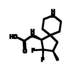 C[C@@H]1CC2(CCNCC2)[C@H](NC(=O)O)C1(F)F